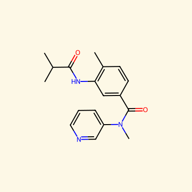 Cc1ccc(C(=O)N(C)c2cccnc2)cc1NC(=O)C(C)C